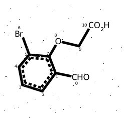 O=Cc1cccc(Br)c1OCC(=O)O